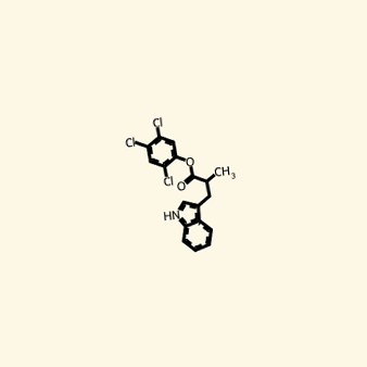 CC(Cc1c[nH]c2ccccc12)C(=O)Oc1cc(Cl)c(Cl)cc1Cl